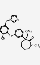 COCC1(c2cccc(Oc3cc(Cn4ccnc4)ccc3C#N)c2)CCCCN(C)C1=O